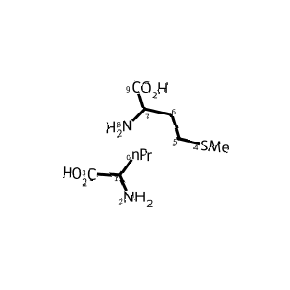 CCCC(N)C(=O)O.CSCCC(N)C(=O)O